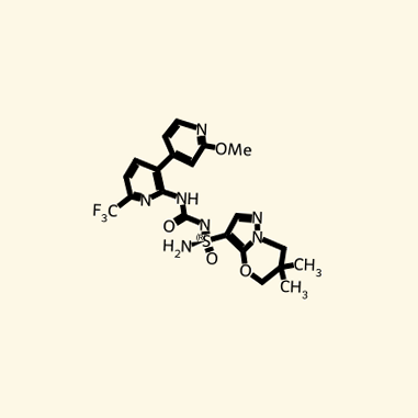 COc1cc(-c2ccc(C(F)(F)F)nc2NC(=O)N=[S@@](N)(=O)c2cnn3c2OCC(C)(C)C3)ccn1